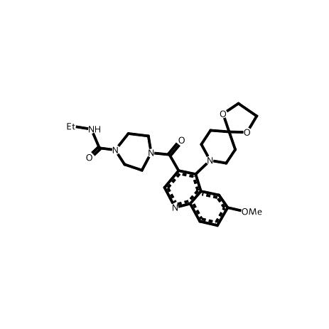 CCNC(=O)N1CCN(C(=O)c2cnc3ccc(OC)cc3c2N2CCC3(CC2)OCCO3)CC1